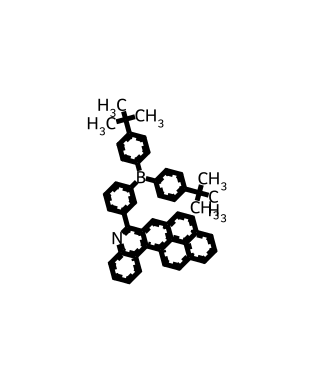 CC(C)(C)c1ccc(B(c2ccc(C(C)(C)C)cc2)c2cccc(-c3nc4ccccc4c4c3cc3ccc5cccc6ccc4c3c56)c2)cc1